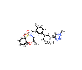 CC[C@@H]1CN(Cc2cc([C@@H](CCc3cn(CC)nn3)CC(=O)O)ccc2C)S(=O)(=O)c2ccccc2O1